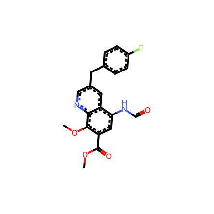 COC(=O)c1cc(NC=O)c2cc(Cc3ccc(F)cc3)cnc2c1OC